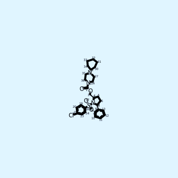 O=C(OC[C@H]1CC[C@@H](c2ccccc2)N1S(=O)(=O)c1ccc(Cl)cc1)N1CCN(C2CCCCC2)CC1